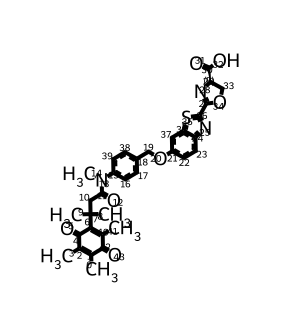 CC1=C(C)C(=O)C(C(C)(C)CC(=O)N(C)c2ccc(COc3ccc4nc(C5=N[C@@H](C(=O)O)CO5)sc4c3)cc2)=C(C)C1=O